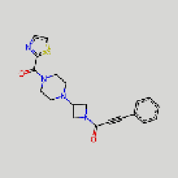 O=C(C#Cc1ccccc1)N1CC(N2CCN(C(=O)c3nccs3)CC2)C1